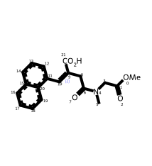 COC(=O)CN(C)C(=O)C/C(=C/c1cccc2ccccc12)C(=O)O